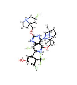 Oc1cc(Cl)c(C(F)(F)F)c(-c2nc3c4c(nc(OC[C@@]56CCCN5C[C@@H](F)C6)nc4c2F)N2C[C@H]4CC[C@H](N4)[C@@H]2CO3)c1